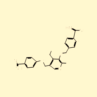 Cc1ncc(COc2ccc(C(=N)N)cc2)c(CF)c1OCc1ccc(C(=N)N)cc1